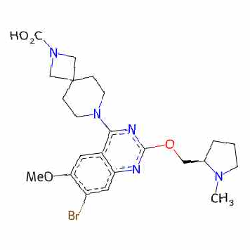 COc1cc2c(N3CCC4(CC3)CN(C(=O)O)C4)nc(OC[C@H]3CCCN3C)nc2cc1Br